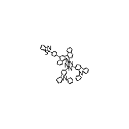 c1ccc(-n2c3ccccc3c3ccc(-c4nc(-c5ccc6c7ccccc7n(-c7ccccc7)c6c5)nc(-n5c6ccc7ccccc7c6c6cc(-c7ccc(-c8nc9ccccc9s8)cc7)c7ccccc7c65)n4)cc32)cc1